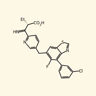 CC[C@@H](C(=N)c1ccc(Cc2cc3scnc3c(-c3cccc(Cl)c3)c2F)cn1)C(=O)O